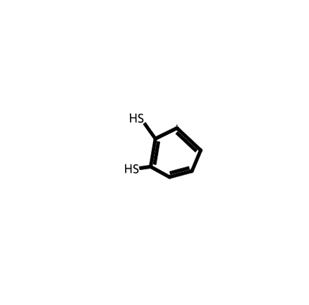 Sc1[c]cccc1S